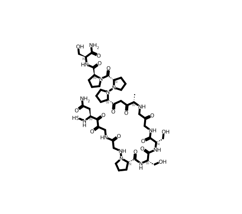 C[C@H](NCC(=O)CNC(=O)[C@H](CO)NC(=O)[C@H](CO)NC(=O)[C@@H]1CCCN1NCC(=O)NCC(=O)C(=O)[C@H](CC(N)=O)NS)C(=O)CC(=O)[C@@H]1CCCN1N1CCC[C@H]1C(=O)N1CCC[C@H]1C(=O)N[C@@H](CO)C(N)=O